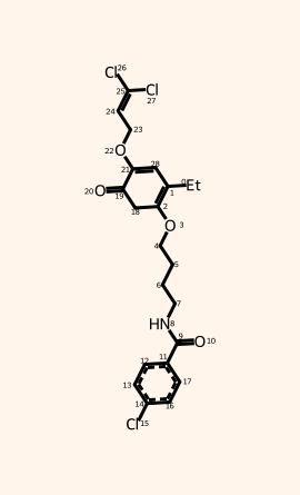 CCC1=C(OCCCCNC(=O)c2ccc(Cl)cc2)CC(=O)C(OCC=C(Cl)Cl)=C1